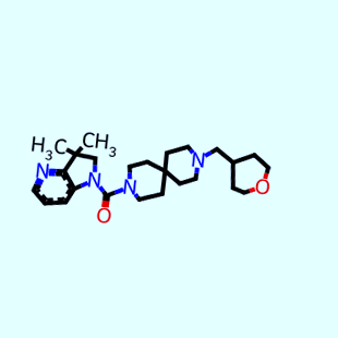 CC1(C)CN(C(=O)N2CCC3(CCN(CC4CCOCC4)CC3)CC2)c2cccnc21